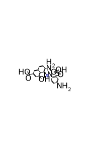 Nc1ccc(/N=N/c2c(N)ccc3cc(C(=O)O)cc(O)c23)c(S(=O)(=O)O)c1